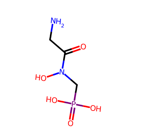 NCC(=O)N(O)CP(=O)(O)O